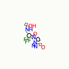 CO[C@H]1C[C@](c2cccc(N3Cc4c(cc(CNCC5(CO)CCC5)cc4C(F)(F)F)C3=O)c2)(c2nncn2C)C1